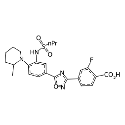 CCCS(=O)(=O)Nc1cc(-c2nc(-c3ccc(C(=O)O)c(F)c3)no2)ccc1N1CCCCC1C